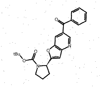 CC(C)(C)OC(=O)N1CCC[C@@H]1c1cc2ncc(C(=O)c3ccccc3)cc2o1